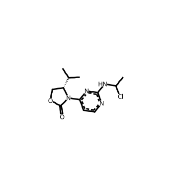 CC(Cl)Nc1nccc(N2C(=O)OC[C@@H]2C(C)C)n1